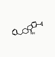 N=C1c2cc(C3CC3)ccc2CC12CCC(Cc1ccccc1)CC2